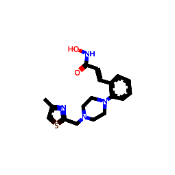 Cc1csc(CN2CCN(c3ccccc3C=CC(=O)NO)CC2)n1